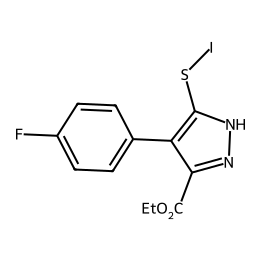 CCOC(=O)c1n[nH]c(SI)c1-c1ccc(F)cc1